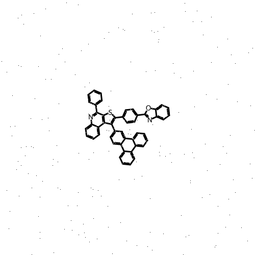 c1ccc(-c2nc3ccccc3c3c(-c4ccc5c6ccccc6c6ccccc6c5c4)c(-c4ccc(-c5nc6ccccc6o5)cc4)sc23)cc1